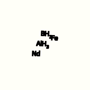 B.[AlH3].[Fe].[Nd]